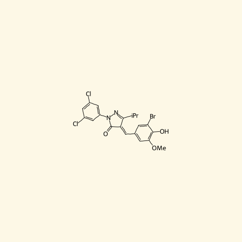 COc1cc(C=C2C(=O)N(c3cc(Cl)cc(Cl)c3)N=C2C(C)C)cc(Br)c1O